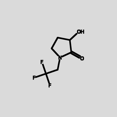 O=C1C(O)CCN1CC(F)(F)F